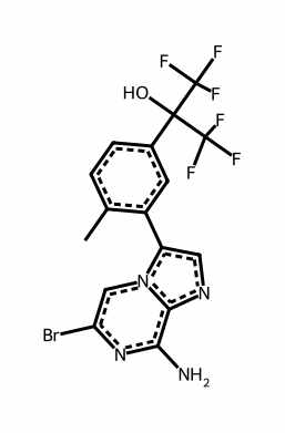 Cc1ccc(C(O)(C(F)(F)F)C(F)(F)F)cc1-c1cnc2c(N)nc(Br)cn12